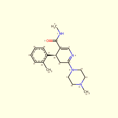 CNC(=O)C1=CN=C(N2CCN(C)CC2)C[C@H]1c1ccccc1C